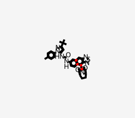 Cc1ccc(-n2nc(C(C)(C)C)cc2NC(=O)Nc2ccc(CC3CC4CCC(C3)N4S(=O)(=O)c3cccc4nsnc34)cc2)cc1